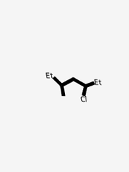 CC[C](Cl)CC(C)CC